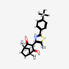 CCc1sc(-c2ccc([Si](C)(C)C)cc2)nc1C1C(=O)[C@@H]2CC[C@@H](C2)C1=O